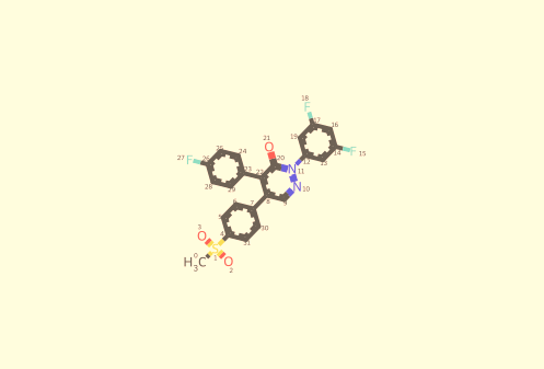 CS(=O)(=O)c1ccc(-c2cnn(-c3cc(F)cc(F)c3)c(=O)c2-c2ccc(F)cc2)cc1